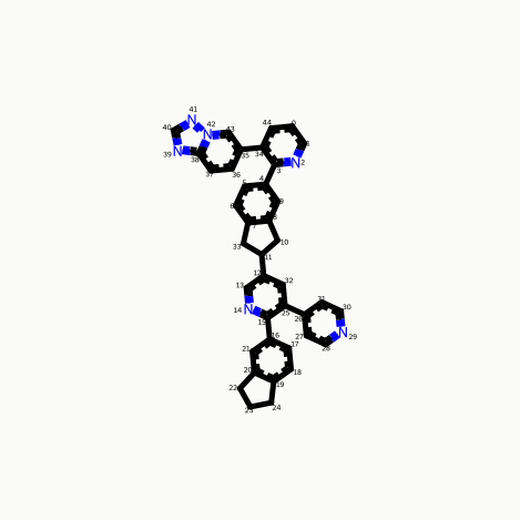 c1cnc(-c2ccc3c(c2)CC(c2cnc(-c4ccc5c(c4)CCC5)c(-c4ccncc4)c2)C3)c(-c2ccc3ncnn3c2)c1